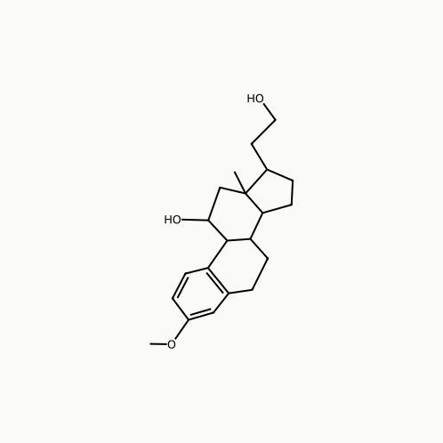 COc1ccc2c(c1)CCC1C2C(O)CC2(C)C(CCO)CCC12